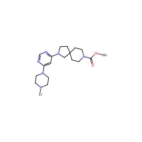 CCN1CCN(c2cc(N3CCC4(CCN(C(=O)OC(C)(C)C)CC4)C3)ncn2)CC1